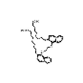 CCCCCCCCCCCCCCCCCCc1ccc2ccccc2c1OCCOc1c(CCCCCCCCCCCCCCCCCC)ccc2ccccc12